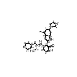 Cc1cc(-n2ccnc2)cc2[nH]c(-c3c(N[C@H](CO)Cc4ccncc4)cc[nH]c3=O)nc12